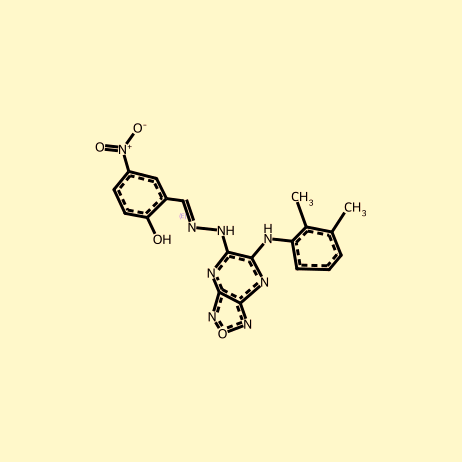 Cc1cccc(Nc2nc3nonc3nc2N/N=C/c2cc([N+](=O)[O-])ccc2O)c1C